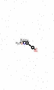 CC(C)OC1=Nc2cc(C#Cc3ccc(C(=O)O)cc3)ccc2C(C)(C)C1